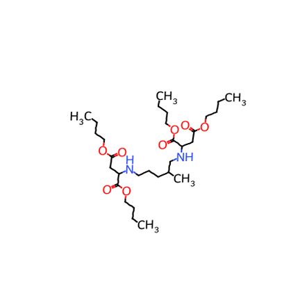 CCCCOC(=O)CC(NCCCC(C)CNC(CC(=O)OCCCC)C(=O)OCCCC)C(=O)OCCCC